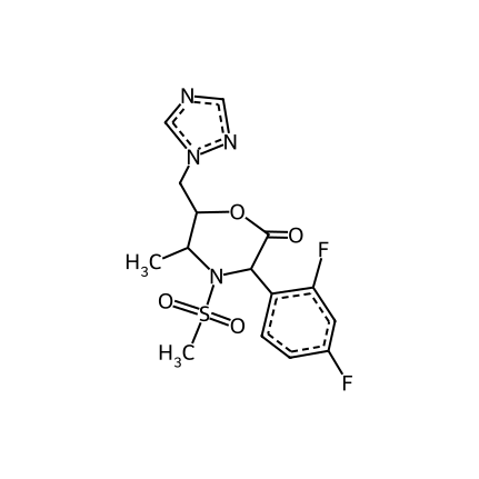 CC1C(Cn2cncn2)OC(=O)C(c2ccc(F)cc2F)N1S(C)(=O)=O